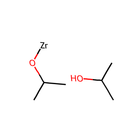 CC(C)O.CC(C)[O][Zr]